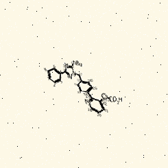 CCCCc1nc(-c2ccccc2)nn1Cc1ccc(-c2ncccc2OC(=O)O)cc1